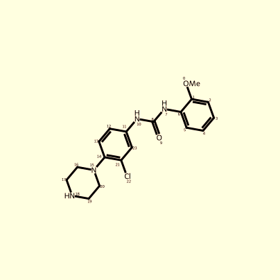 COc1ccccc1NC(=O)Nc1ccc(N2CCNCC2)c(Cl)c1